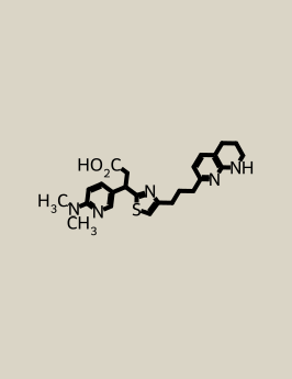 CN(C)c1ccc(C(CC(=O)O)c2nc(CCCc3ccc4c(n3)NCCC4)cs2)cn1